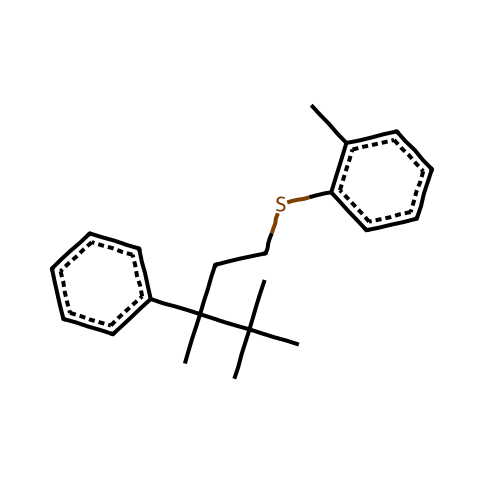 Cc1ccccc1SCCC(C)(c1ccccc1)C(C)(C)C